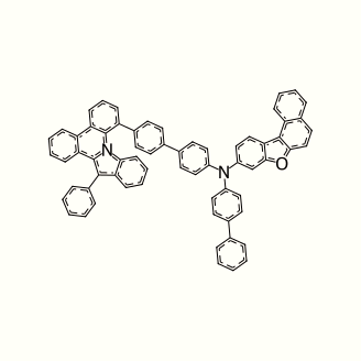 c1ccc(-c2ccc(N(c3ccc(-c4ccc(-c5cccc6c7ccccc7c7c(-c8ccccc8)c8ccccc8n7c56)cc4)cc3)c3ccc4c(c3)oc3ccc5ccccc5c34)cc2)cc1